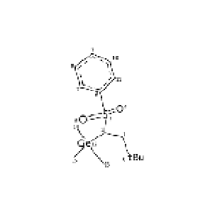 CC(C)(C)C[CH](S(=O)(=O)c1ccccc1)[Ge]([CH3])([CH3])[CH3]